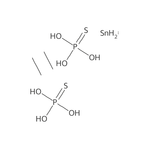 CC.CC.OP(O)(O)=S.OP(O)(O)=S.[SnH2]